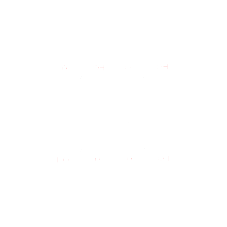 O=C(O)c1ccc(C(=O)O)c(Cc2cc(C(=O)O)ccc2C(=O)O)c1